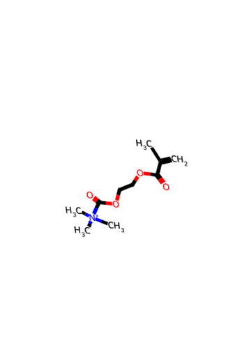 C=C(C)C(=O)OCCOC(=O)[N+](C)(C)C